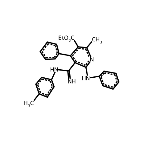 CCOC(=O)c1c(C)nc(Nc2ccccc2)c(C(=N)Nc2ccc(C)cc2)c1-c1ccccc1